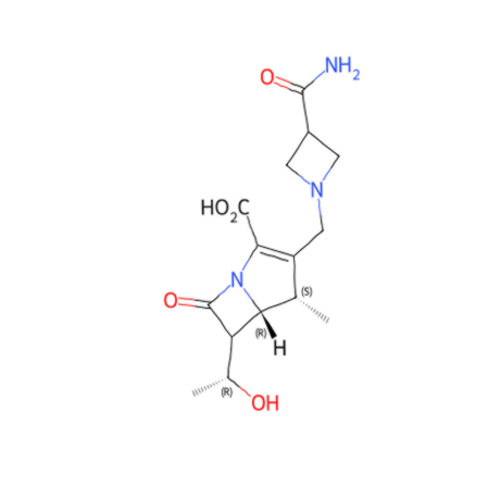 C[C@@H](O)C1C(=O)N2C(C(=O)O)=C(CN3CC(C(N)=O)C3)[C@H](C)[C@H]12